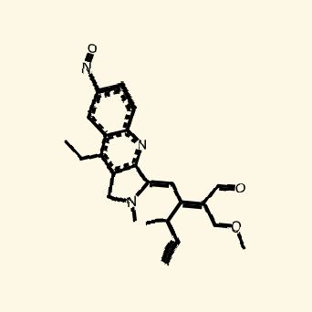 C=CC(C)C(/C=C1/c2nc3ccc(N=O)cc3c(CC)c2CN1C)=C(/C=O)COC